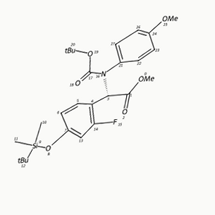 COC(=O)[C@H](c1ccc(O[Si](C)(C)C(C)(C)C)cc1F)N(C(=O)OC(C)(C)C)c1ccc(OC)cc1